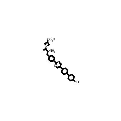 CCCC1CCC(C2CCC(c3cnc(-c4ccc(C[C@H](N)C(=O)N5CC(C(=O)O)C5)cc4)nc3)CC2)CC1